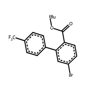 CC(C)(C)OC(=O)c1ccc(Br)cc1-c1ccc(C(F)(F)F)cc1